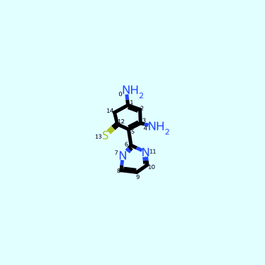 NC1=CC(N)=C(c2ncccn2)C(=S)C1